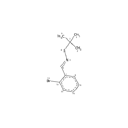 CC(C)(C)S/N=C/c1ccccc1Br